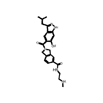 CNCCNC(=O)c1ccc2c(c1)CN(C(=O)c1cc3c(CC(C)C)n[nH]c3cc1O)C2